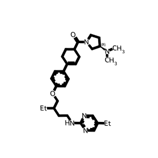 CCc1cnc(NCCC(CC)COc2ccc(C3=CCC(C(=O)N4CC[C@@H](N(C)C)C4)CC3)cc2)nc1